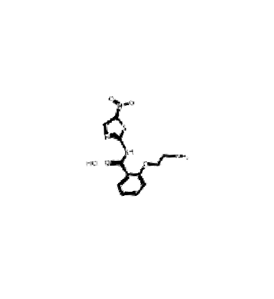 Cl.NCCOc1ccccc1C(=O)Nc1ncc([N+](=O)[O-])s1